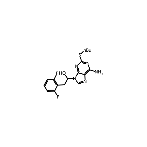 CCCCSc1nc(N)c2ncn(C(O)Cc3c(F)cccc3F)c2n1